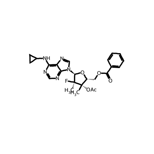 CC(=O)O[C@@]1(C)[C@@H](COC(=O)c2ccccc2)O[C@H](n2cnc3c(NC4CC4)ncnc32)[C@]1(C)F